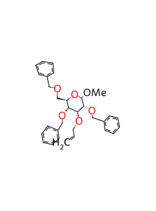 C=CCO[C@H]1[C@@H](OCc2ccccc2)[C@@H](COCc2ccccc2)O[C@H](OC)[C@@H]1OCc1ccccc1